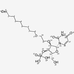 CCCCCCCCCCCCCCCCCCOCCO[C@@H]1[C@H](OP(=O)(O)O)[C@@H](CO)O[C@H]1n1ccc(=O)[nH]c1=O